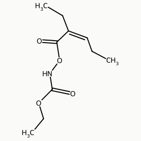 CCC=C(CC)C(=O)ONC(=O)OCC